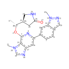 C[C@@H](Oc1nc(-c2ccc3cnn(C)c3c2)cc2ncn(C)c12)[C@H]1CNC(=O)C1